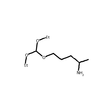 CCOC(OCC)OCCCC(C)N